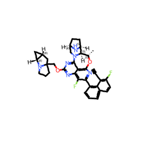 C#Cc1c(F)ccc2cccc(-c3nc4c5c(nc(OCC67CCCN6[C@@H]6C[C@@H]6C7)nc5c3F)N3C[C@H]5CC[C@H](N5)[C@H]3[C@H](C)O4)c12